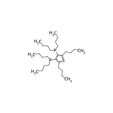 CCCCc1sc(CCCC)c(P(CCCC)CCCC)c1P(CCCC)CCCC